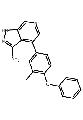 Cc1cc(-c2cncc3[nH]nc(N)c23)ccc1Oc1ccccc1